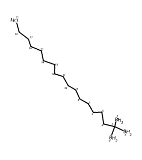 BC(B)(B)CCCCCCCCCCCCCCCO